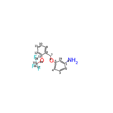 Nc1cccc(OCc2ccccc2OC(F)(F)F)c1